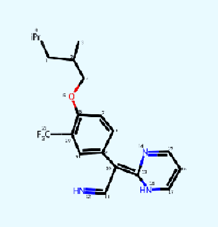 CC(C)CC(C)COc1ccc(/C(C=N)=C2\N=CC=CN2)cc1C(F)(F)F